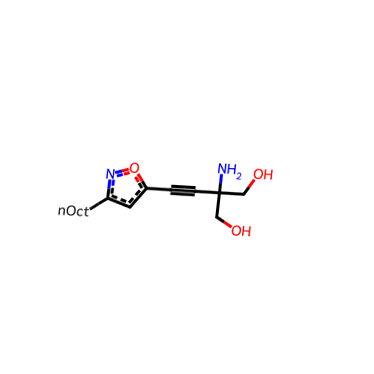 CCCCCCCCc1cc(C#CC(N)(CO)CO)on1